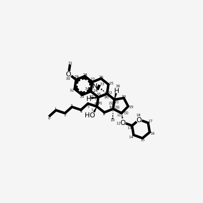 CCCCCC[C@@]1(O)C[C@]2(C)[C@@H](OC3CCCCO3)CC[C@H]2[C@]2(C#N)CCc3cc(OC)ccc3[C@@H]12